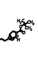 CC(C)(C)OC(=O)N1CC2C[C@H]1CN2CCCl